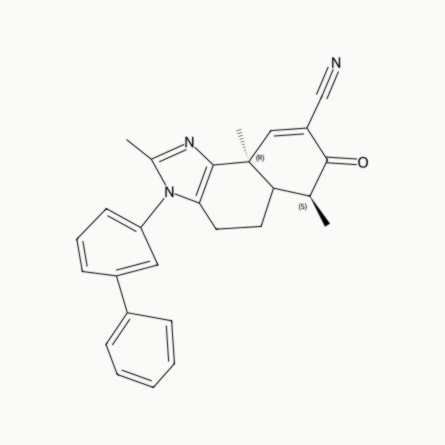 Cc1nc2c(n1-c1cccc(-c3ccccc3)c1)CCC1[C@H](C)C(=O)C(C#N)=C[C@]21C